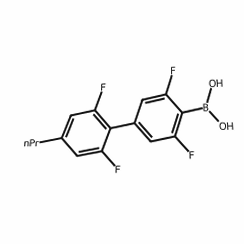 CCCc1cc(F)c(-c2cc(F)c(B(O)O)c(F)c2)c(F)c1